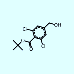 CC(C)(C)OC(=O)c1c(Cl)cc(CO)cc1Cl